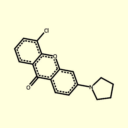 O=c1c2ccc(N3CCCC3)cc2oc2c(Cl)cccc12